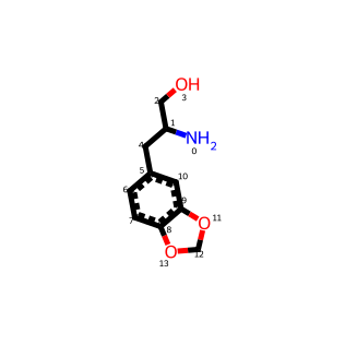 NC(CO)Cc1ccc2c(c1)OCO2